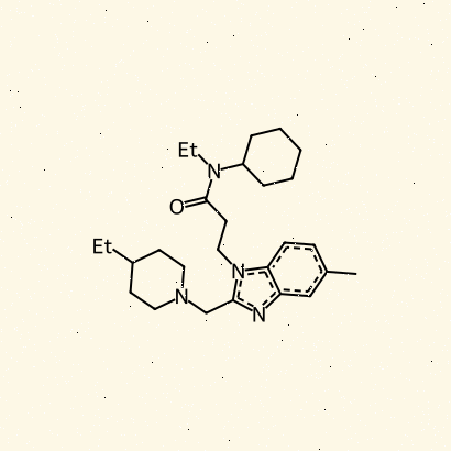 CCC1CCN(Cc2nc3cc(C)ccc3n2CCC(=O)N(CC)C2CCCCC2)CC1